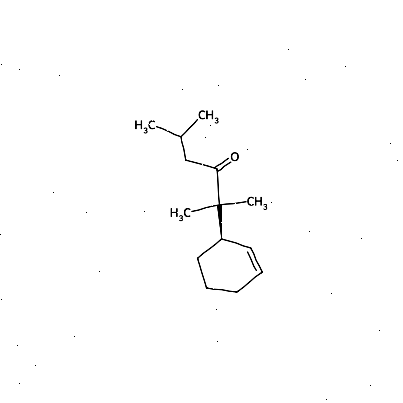 CC(C)CC(=O)C(C)(C)[C@H]1C=CCCC1